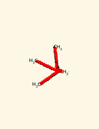 [CH2]Cc1cc(CCCCCCCCCCCCCCCCCCCCCC)c(CCCCCCCCCCCCCCCCCCCCCC)c(CCCCCCCCCCCCCCCCCCCCCC)c1